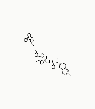 Cc1ccc2cc(C(C)C(=O)OCC(=O)OC(C)C(=O)OCCCCO[N+](=O)[O-])ccc2c1